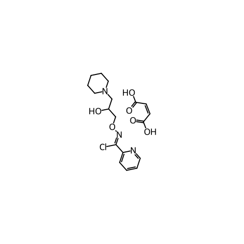 O=C(O)/C=C\C(=O)O.OC(CON=C(Cl)c1ccccn1)CN1CCCCC1